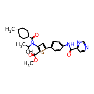 COC(=O)c1sc(-c2ccc(NC(=O)c3ccncn3)cc2)cc1N(C(=O)[C@H]1CC[C@H](C)CC1)C(C)C